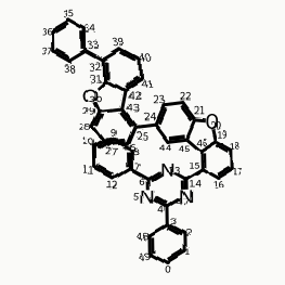 c1ccc(-c2nc(-c3ccccc3)nc(-c3cccc4oc5ccc(-c6cccc7oc8c(-c9ccccc9)cccc8c67)cc5c34)n2)cc1